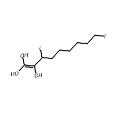 OC(O)=C(O)C(I)CCCCCCI